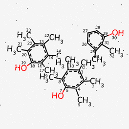 Cc1c(C)c(C)c(O)c(C)c1C.Cc1c(C)c(C)c(O)c(C)c1C.Cc1cccc(O)c1C